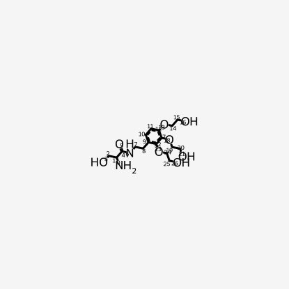 NC(CO)C(=O)NCCc1ccc(OCCO)c(OCCO)c1OCCO